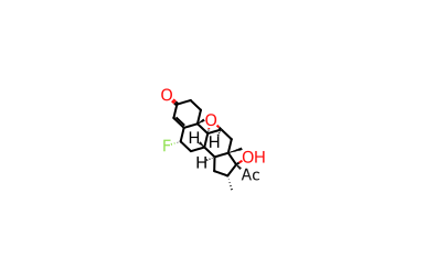 CC(=O)[C@@]1(O)[C@H](C)C[C@H]2[C@@H]3C[C@H](F)C4=CC(=O)CC[C@]4(C)[C@]34O[C@H]4C[C@@]21C